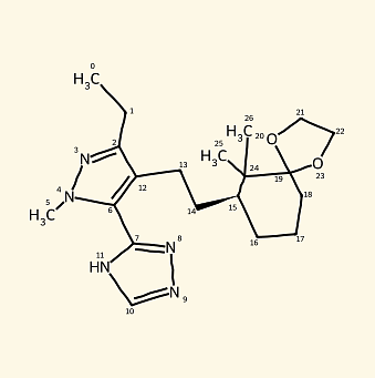 CCc1nn(C)c(-c2nnc[nH]2)c1CC[C@@H]1CCCC2(OCCO2)C1(C)C